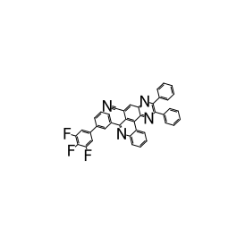 N#Cc1cc2nc(-c3ccccc3)c(-c3ccccc3)nc2c2c1c(-c1cccc(-c3cc(F)c(F)c(F)c3)c1)nc1ccccc12